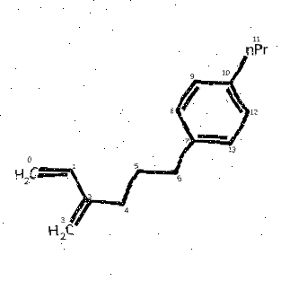 C=CC(=C)CCCc1ccc(CCC)cc1